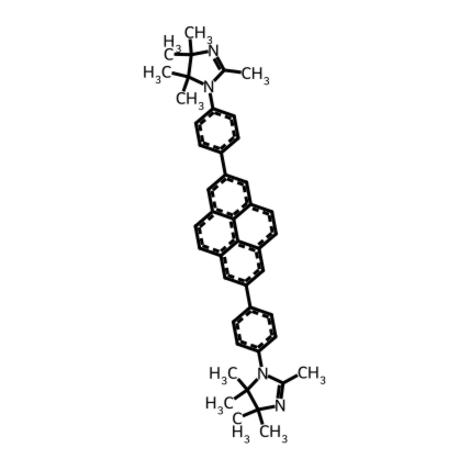 CC1=NC(C)(C)C(C)(C)N1c1ccc(-c2cc3ccc4cc(-c5ccc(N6C(C)=NC(C)(C)C6(C)C)cc5)cc5ccc(c2)c3c45)cc1